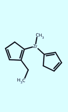 CCC1=[C]([Zr]([CH3])[C]2=CC=CC2)CC=C1